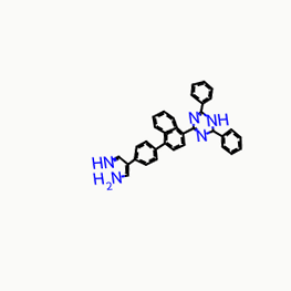 N=C/C(=C\N)c1ccc(-c2ccc(C3=NC(c4ccccc4)NC(c4ccccc4)=N3)c3ccccc23)cc1